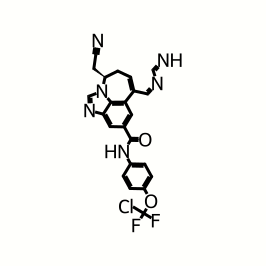 N#CC[C@H]1CC=C(/C=N\C=N)c2cc(C(=O)Nc3ccc(OC(F)(F)Cl)cc3)cc3ncn1c23